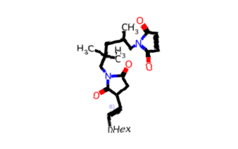 CCCCCC/C=C/C1CC(=O)N(CC(C)(C)CC(C)CN2C(=O)C=CC2=O)C1=O